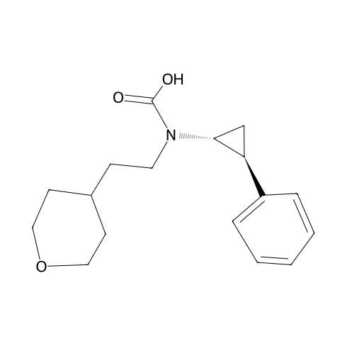 O=C(O)N(CCC1CCOCC1)[C@@H]1C[C@H]1c1ccccc1